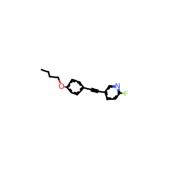 CCCCOc1ccc(C#Cc2ccc(F)nc2)cc1